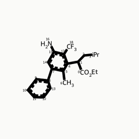 CCOC(=O)C(CC(C)C)c1c(C)c(-c2ccccc2)cc(N)c1C(F)(F)F